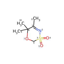 CC1=NS(=O)(=O)COC1(C)C